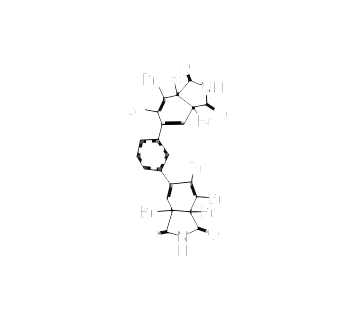 O=C1NC(=O)C2(Br)C(Br)=C(Br)C(c3cccc(C4=CC5(Br)C(=O)NC(=O)C5(Br)C(Br)=C4Br)c3)=CC12Br